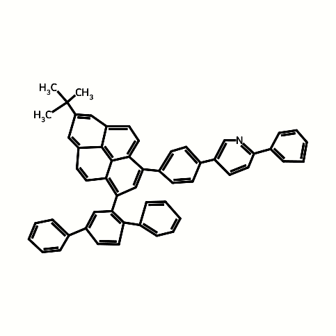 CC(C)(C)c1cc2ccc3c(-c4ccc(-c5ccc(-c6ccccc6)nc5)cc4)cc(-c4cc(-c5ccccc5)ccc4-c4ccccc4)c4ccc(c1)c2c34